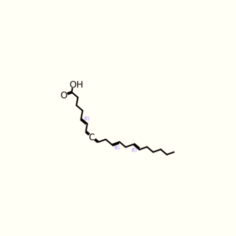 CCCCC/C=C/C/C=C/CC=C=C/C=C/CCCC(=O)O